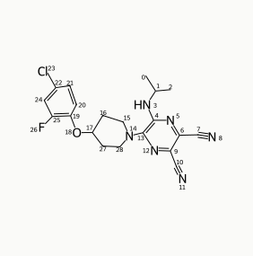 CC(C)Nc1nc(C#N)c(C#N)nc1N1CCC(Oc2ccc(Cl)cc2F)CC1